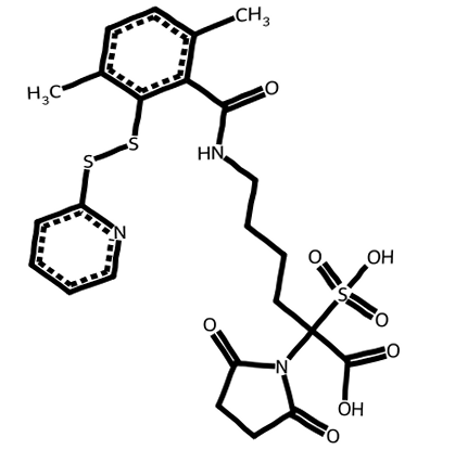 Cc1ccc(C)c(C(=O)NCCCCC(C(=O)O)(N2C(=O)CCC2=O)S(=O)(=O)O)c1SSc1ccccn1